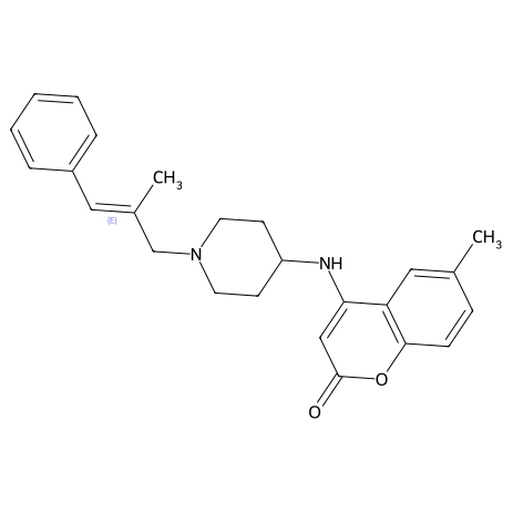 C/C(=C\c1ccccc1)CN1CCC(Nc2cc(=O)oc3ccc(C)cc23)CC1